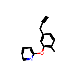 C#CCc1ccc(C)c(Oc2ccccn2)c1